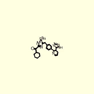 CCCCn1nc(C(=O)C2CCCCC2)nc1Cc1ccc(-c2ncccc2-c2nnn[nH]2)cc1